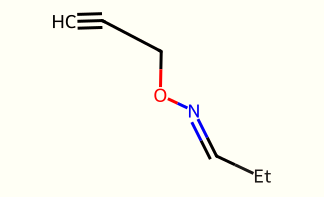 C#CCON=CC[CH2]